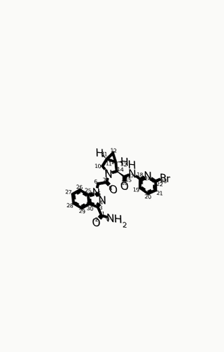 NC(=O)c1nn(CC(=O)N2C[C@H]3C[C@H]3[C@H]2C(=O)Nc2cccc(Br)n2)c2ccccc12